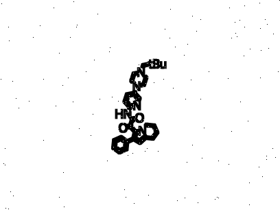 CC(C)(C)CN1CCN(c2ccc(NC(=O)C(=O)c3c(-c4ccccc4)cc4n3CCCC4)nc2)CC1